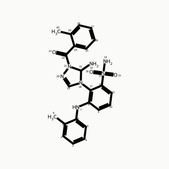 Cc1ccccc1Nc1cccc(S(N)(=O)=O)c1N1C=NN(C(=O)c2ccccc2C)C1N